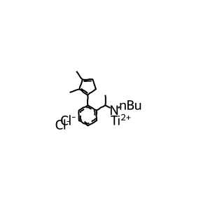 CCCC[N]([Ti+2])C(C)c1ccccc1C1=C(C)C(C)=CC1.[Cl-].[Cl-]